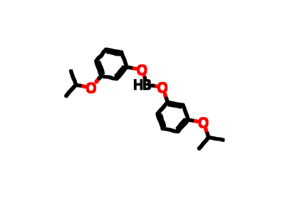 CC(C)Oc1cccc(OBOc2cccc(OC(C)C)c2)c1